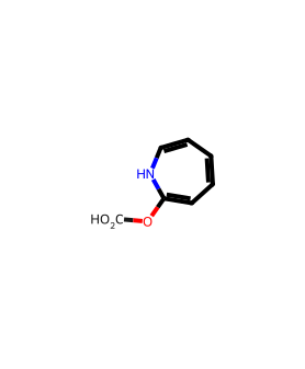 O=C(O)OC1=CC=CC=CN1